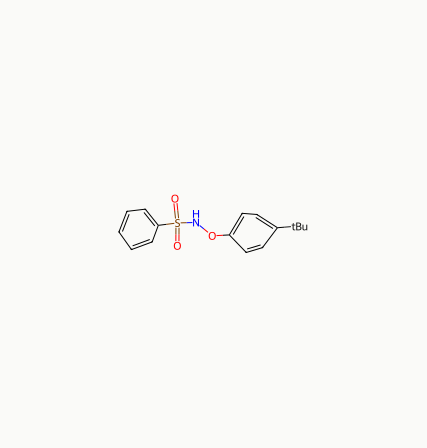 CC(C)(C)c1ccc(ONS(=O)(=O)c2ccccc2)cc1